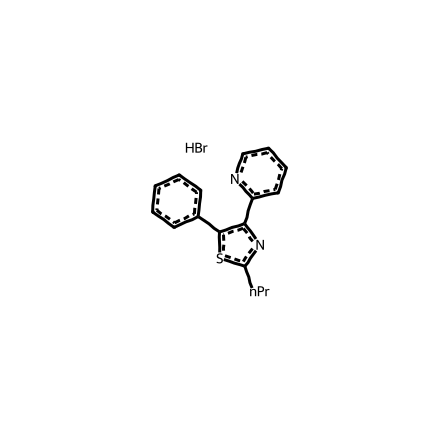 Br.CCCc1nc(-c2ccccn2)c(-c2ccccc2)s1